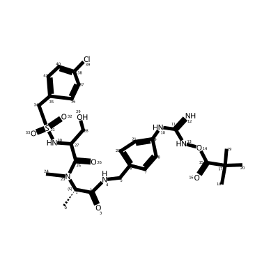 C[C@@H](C(=O)NCc1ccc(NC(=N)NOC(=O)C(C)(C)C)cc1)N(C)C(=O)C(CO)NS(=O)(=O)Cc1ccc(Cl)cc1